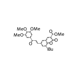 CCC(C)c1cc(C=CC(=O)c2cc(OC)c(OC)c(OC)c2)cc2cc(C(=O)OC)c(=O)oc12